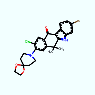 CC1(C)c2cc(N3CCC4(CC3)OCCO4)c(Cl)cc2C(=O)c2c1[nH]c1cc(Br)ccc21